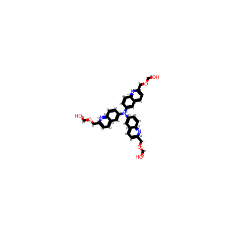 OCOCc1ccc2cc(N(c3ccc4nc(COCO)ccc4c3)c3ccc4nc(COCO)ccc4c3)ccc2n1